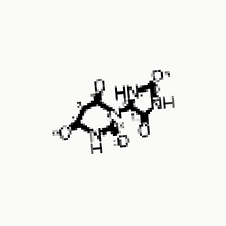 O=C1CC(=O)N(C2NC(=O)NC2=O)C(=O)N1